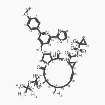 CC(C)Oc1ccc(-c2cc(O[C@@H]3C[C@H]4C(=O)N[C@]5(C(=O)NS(=O)(=O)C6(C)CC6)CC5/C=C\CC[C@@H](C)C[C@@H](C)[C@H](NC(=O)OC(C)(C)C(F)(F)F)C(=O)N4C3)cc(-c3nccs3)n2)cc1